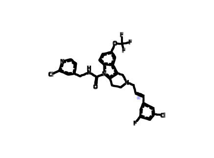 O=C(NCc1ccnc(Cl)c1)n1c2c(c3cc(OC(F)(F)F)ccc31)CN(C/C=C/c1cc(F)cc(Cl)c1)CC2